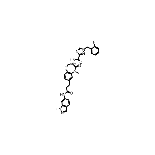 CN1C(=O)[C@@H](NC(=O)c2ncn(Cc3ccccc3F)n2)COc2ccc(CCC(=O)Nc3ccc4cn[nH]c4c3)cc21